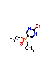 CCP(=O)(CC)c1cnc(Br)nc1